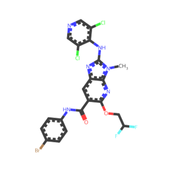 Cn1c(Nc2c(Cl)cncc2Cl)nc2cc(C(=O)Nc3ccc(Br)cc3)c(OCC(F)F)nc21